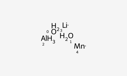 O.O.[AlH3].[Li].[Mn]